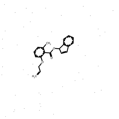 C=CCOc1cccc(C)c1C(=O)OC1C=Cc2ccccc21